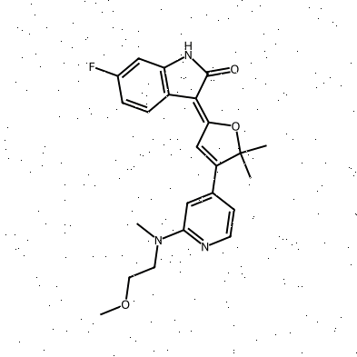 COCCN(C)c1cc(C2=CC(=C3C(=O)Nc4cc(F)ccc43)OC2(C)C)ccn1